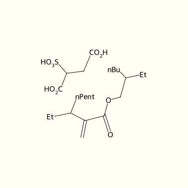 C=C(C(=O)OCC(CC)CCCC)C(CC)CCCCC.O=C(O)CC(C(=O)O)S(=O)(=O)O